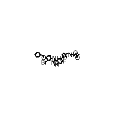 CS(=O)(=O)CCNCc1ccc(-c2cc3c(Nc4ccc(OCc5ccccc5)c(Br)c4)ncnc3cc2F)o1